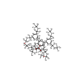 CC(C)(C)CC(C)(C)c1cc([SiH](O[SiH](c2cc(C(C)(C)CC(C)(C)C)cc(C(C)(C)CC(C)(C)C)c2)c2cc(C(C)(C)CC(C)(C)C)cc(C(C)(C)CC(C)(C)C)c2)c2cc(C(C)(C)CC(C)(C)C)cc(C(C)(C)CC(C)(C)C)c2)cc(C(C)(C)CC(C)(C)C)c1